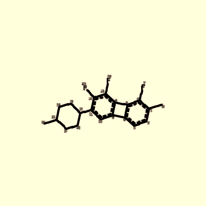 Cc1ccc2c(c1F)-c1c-2cc(C2CCC(C)CC2)c(F)c1F